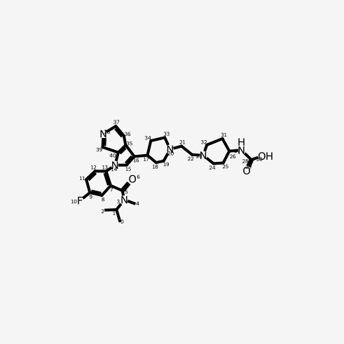 CC(C)N(C)C(=O)c1cc(F)ccc1-n1cc(C2CCN(CCN3CCC(NC(=O)O)CC3)CC2)c2ccncc21